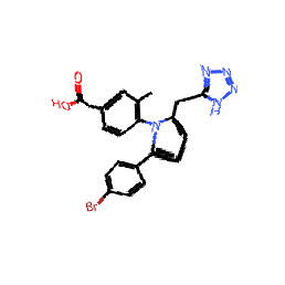 Cc1cc(C(=O)O)ccc1-n1c(Cc2nnn[nH]2)ccc1-c1ccc(Br)cc1